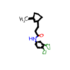 C=C1CCCC(CCC(=O)Nc2ccc(Cl)c(Cl)c2)C1